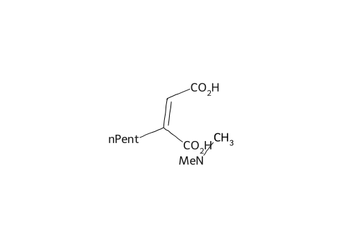 CCCCC/C(=C/C(=O)O)C(=O)O.CNC